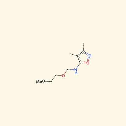 COCCOCNc1onc(C)c1C